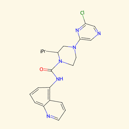 CC(C)C1CN(c2cncc(Cl)n2)CCN1C(=O)Nc1cccc2ncccc12